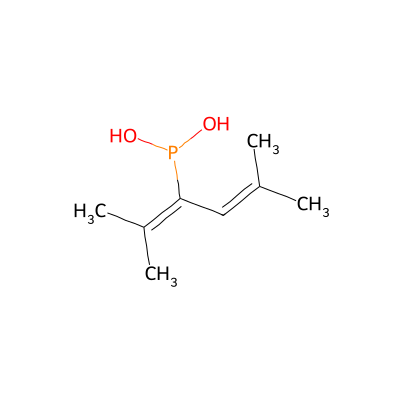 CC(C)=CC(=C(C)C)P(O)O